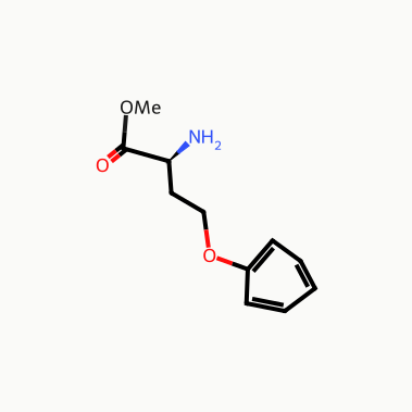 COC(=O)[C@@H](N)CCOc1ccccc1